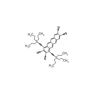 CCCS(C#Cc1c(C#N)c(C#N)c(C#CS(CCC)(CCC)CCC)c2cc3cc4cc(C#N)c(C#N)cc4cc3cc12)(CCC)CCC